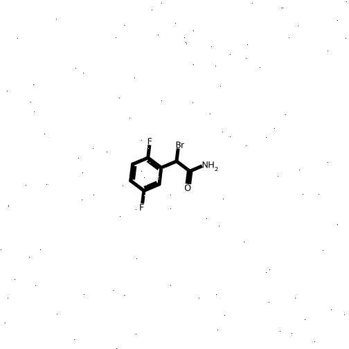 NC(=O)C(Br)c1cc(F)ccc1F